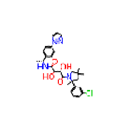 C[C@@H](NC(=O)[C@H](O)[C@@H](O)C(=O)N1CC(C)(C)C[C@]1(C)c1cccc(Cl)c1)c1ccc(-n2cccn2)cc1